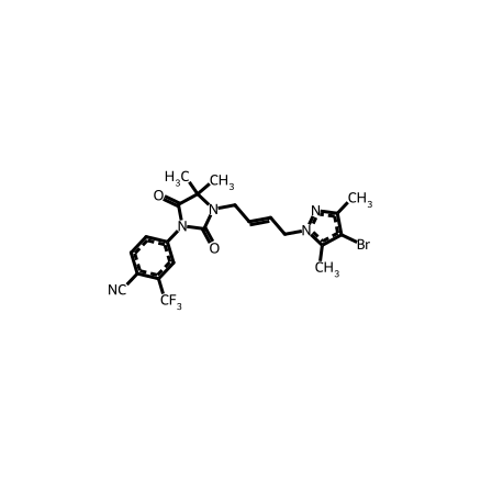 Cc1nn(CC=CCN2C(=O)N(c3ccc(C#N)c(C(F)(F)F)c3)C(=O)C2(C)C)c(C)c1Br